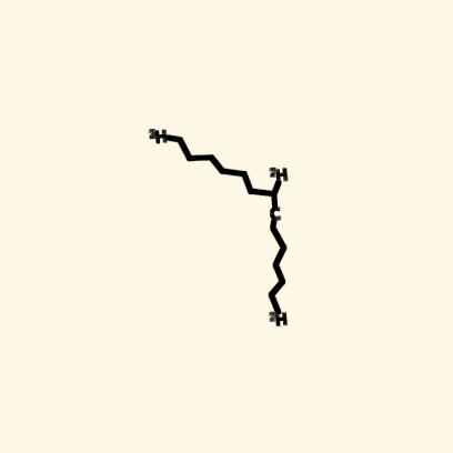 [2H]CCCCCCC([2H])CCCCCC[2H]